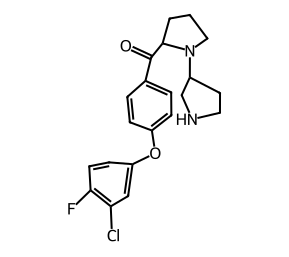 O=C(c1ccc(Oc2ccc(F)c(Cl)c2)cc1)C1CCCN1C1CCNC1